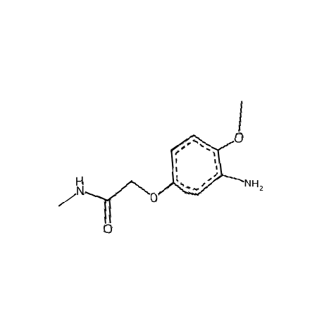 CNC(=O)COc1ccc(OC)c(N)c1